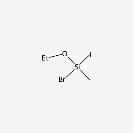 CCO[Si](C)(Br)I